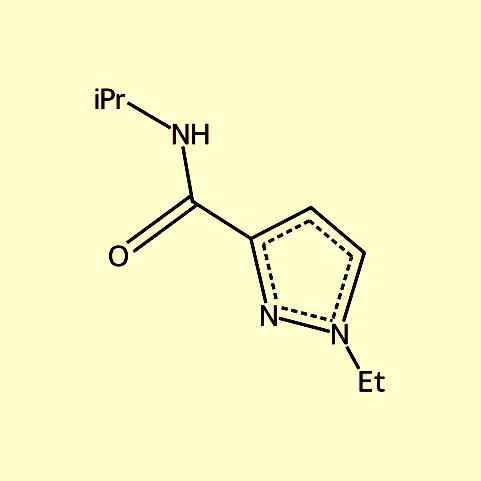 CCn1ccc(C(=O)NC(C)C)n1